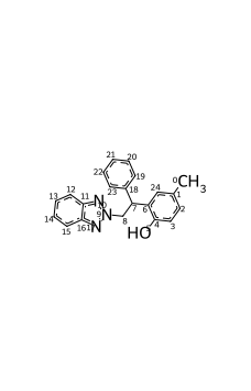 Cc1ccc(O)c(C(Cn2nc3ccccc3n2)c2ccccc2)c1